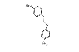 COc1ccc(CCOc2ccc(N)cc2)cc1